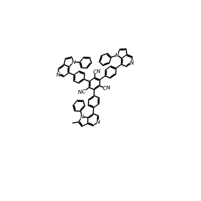 Cc1cc2cncc(-c3ccc(-c4c(C#N)c(-c5ccc(-c6cncc7ccn(-c8ccccc8)c67)cc5)c(C#N)c(-c5ccc(-c6cncc7ccn(-c8ccccc8)c67)cc5)c4C#N)cc3)c2n1-c1ccccc1